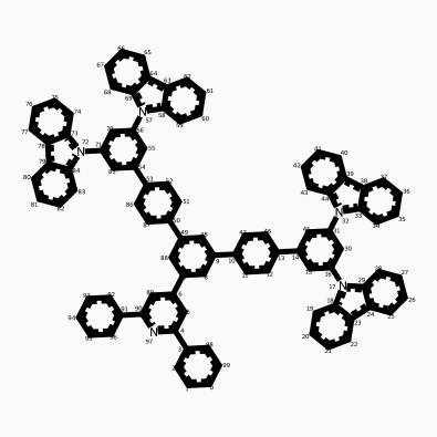 c1ccc(-c2cc(-c3cc(-c4ccc(-c5cc(-n6c7ccccc7c7ccccc76)cc(-n6c7ccccc7c7ccccc76)c5)cc4)cc(-c4ccc(-c5cc(-n6c7ccccc7c7ccccc76)cc(-n6c7ccccc7c7ccccc76)c5)cc4)c3)cc(-c3ccccc3)n2)cc1